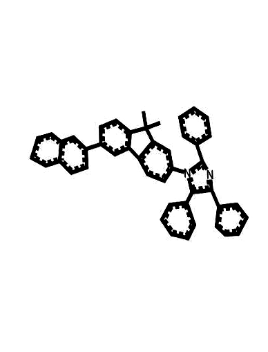 CC1(C)c2ccc(-c3ccc4ccccc4c3)cc2-c2ccc(-n3c(-c4ccccc4)nc(-c4ccccc4)c3-c3ccccc3)cc21